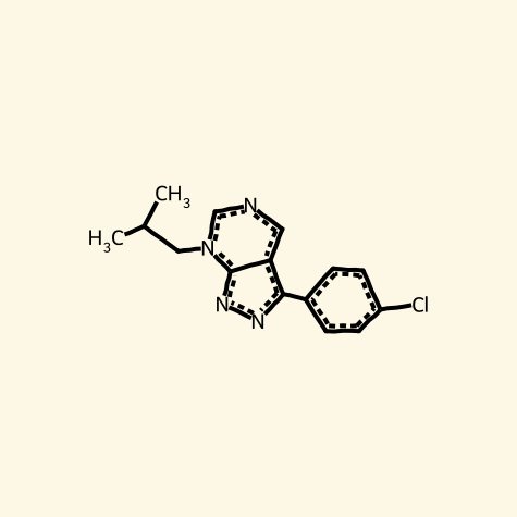 CC(C)Cn1cncc2c(-c3ccc(Cl)cc3)nnc1-2